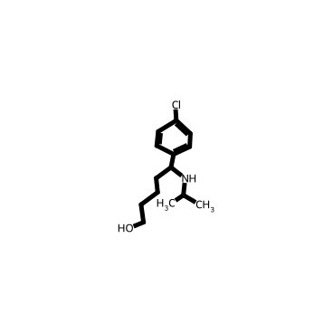 CC(C)NC(CCCCO)c1ccc(Cl)cc1